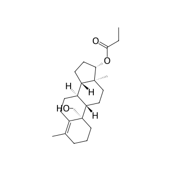 CCC(=O)O[C@H]1CC[C@H]2[C@@H]3CCC4=C(C)CCC[C@]4(CO)[C@H]3CC[C@]12C